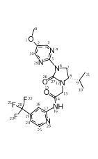 COc1cnc(N2C[C@H](C(C)C)N(CC(=O)Nc3cc(C(F)(F)F)ccn3)C2=O)nc1